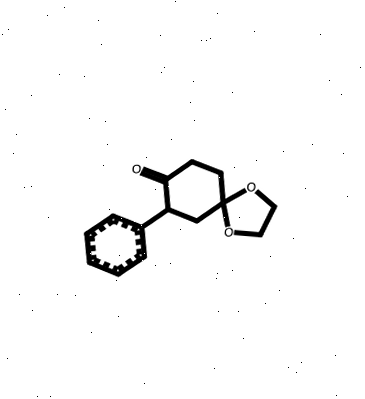 O=C1CCC2(CC1c1ccccc1)OCCO2